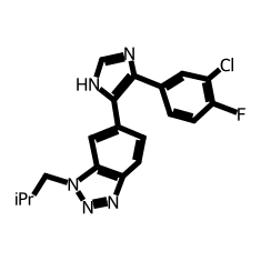 CC(C)Cn1nnc2ccc(-c3[nH]cnc3-c3ccc(F)c(Cl)c3)cc21